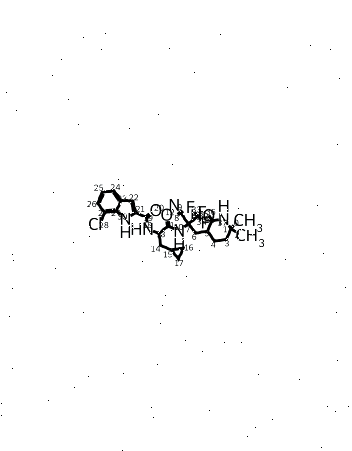 CC1(C)CCC(CC(C#N)(NC(=O)C(CC2CC2)NC(=O)c2cc3cccc(Cl)c3[nH]2)C(F)(F)F)C(O)N1